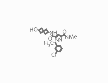 CNC(=O)c1cc(C(=O)N[C@H]2CC3(C[C@@H](O)C3)C2)n([C@@H](C)c2cccc(Cl)c2)n1